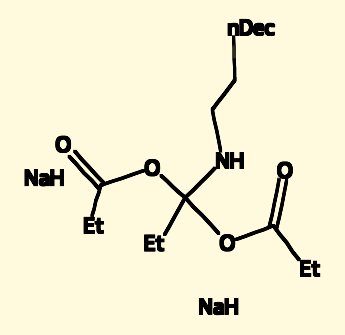 [CH2]CC(NCCCCCCCCCCCC)(OC(=O)CC)OC(=O)CC.[NaH].[NaH]